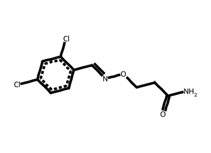 NC(=O)[CH]CO/N=C/c1ccc(Cl)cc1Cl